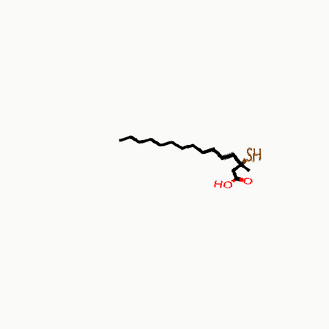 CCCCCCCCCCCCC(C)(S)CC(=O)O